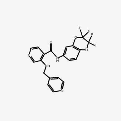 O=C(Nc1ccc2c(c1)OC(F)(F)C(F)(F)O2)c1ccncc1NCc1ccncc1